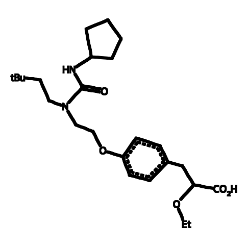 CCOC(Cc1ccc(OCCN(CCC(C)(C)C)C(=O)NC2CCCC2)cc1)C(=O)O